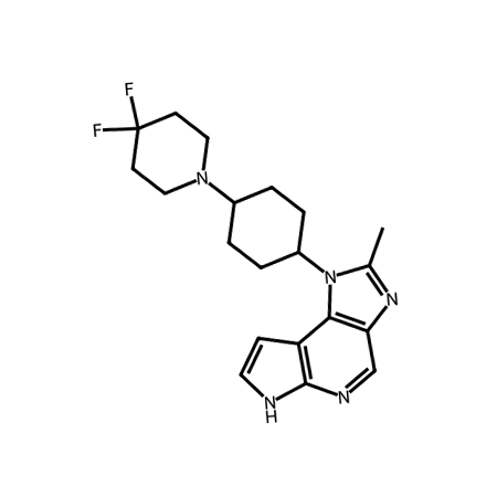 Cc1nc2cnc3[nH]ccc3c2n1C1CCC(N2CCC(F)(F)CC2)CC1